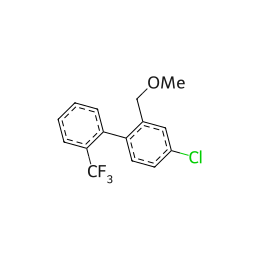 COCc1cc(Cl)ccc1-c1ccccc1C(F)(F)F